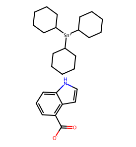 C1CC[CH]([Sn+]([CH]2CCCCC2)[CH]2CCCCC2)CC1.O=C([O-])c1cccc2[nH]ccc12